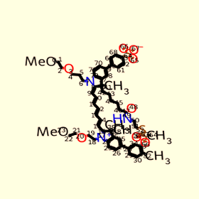 COCCOCCCN1/C(=C/C=C/C=C/C=C/C2=[N+](CCOCCOC)c3ccc(-c4ccc(C)cc4)cc3C2(C)C)C(C)(CCCCCC(=O)NCCSS(C)(=O)=O)c2cc(-c3ccc(S(=O)(=O)[O-])cc3)ccc21